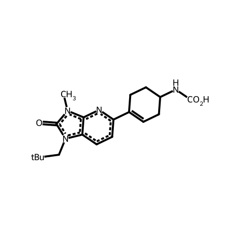 Cn1c(=O)n(CC(C)(C)C)c2ccc(C3=CCC(NC(=O)O)CC3)nc21